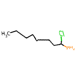 CCCCCCCC(P)Cl